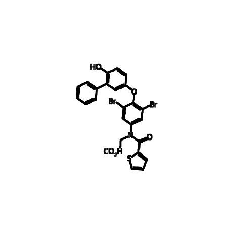 O=C(O)CN(C(=O)c1cccs1)c1cc(Br)c(Oc2ccc(O)c(-c3ccccc3)c2)c(Br)c1